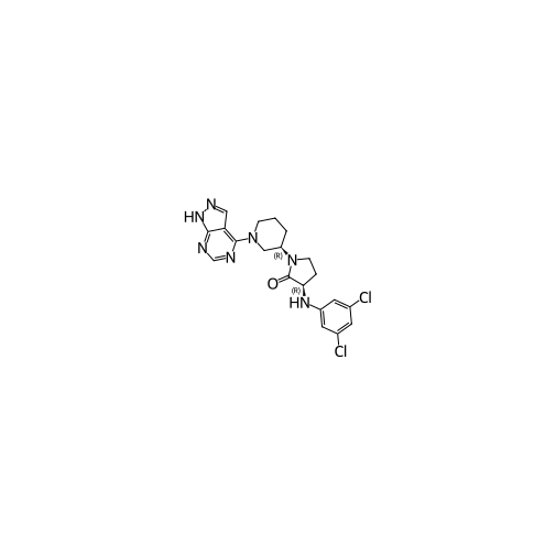 O=C1[C@H](Nc2cc(Cl)cc(Cl)c2)CCN1[C@@H]1CCCN(c2ncnc3[nH]ncc23)C1